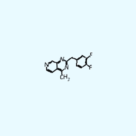 Cc1nc(Cc2ccc(F)c(F)c2)nc2cnccc12